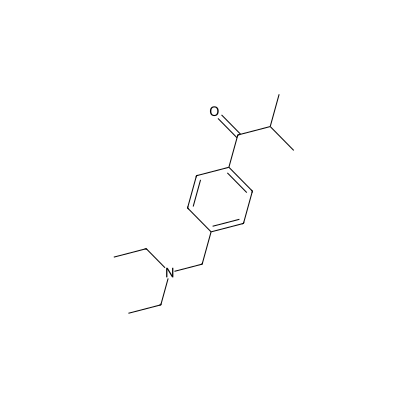 CCN(CC)Cc1ccc(C(=O)C(C)C)cc1